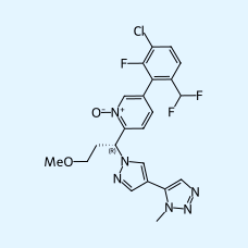 COCC[C@H](c1ccc(-c2c(C(F)F)ccc(Cl)c2F)c[n+]1[O-])n1cc(-c2cnnn2C)cn1